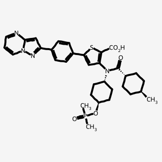 CP(C)(=O)O[C@H]1CC[C@H](N(c2cc(-c3ccc(-c4cc5ncccn5n4)cc3)sc2C(=O)O)C(=O)[C@H]2CC[C@H](C)CC2)CC1